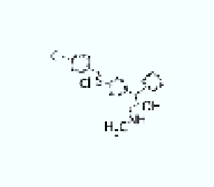 CNCC(O)C(c1ccccc1)c1ccc(SCc2ccc(Cl)cc2Cl)cc1